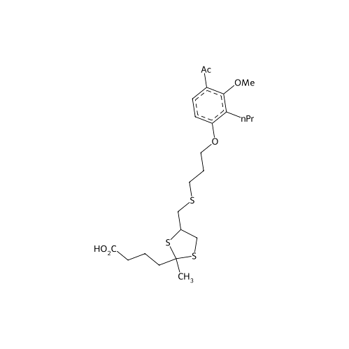 CCCc1c(OCCCSCC2CSC(C)(CCCC(=O)O)S2)ccc(C(C)=O)c1OC